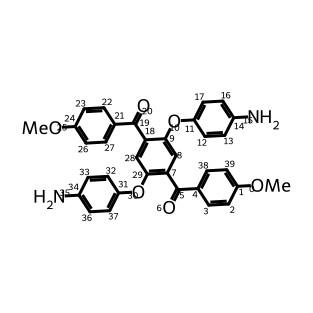 COc1ccc(C(=O)c2cc(Oc3ccc(N)cc3)c(C(=O)c3ccc(OC)cc3)cc2Oc2ccc(N)cc2)cc1